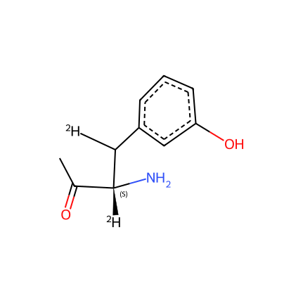 [2H]C(c1cccc(O)c1)[C@]([2H])(N)C(C)=O